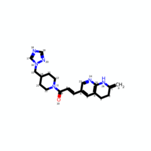 C=C1CCc2cc(/C=C/C(=O)N3CCC(Cn4cncn4)CC3)cnc2N1